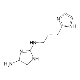 NC1CNC(NCCCc2ncc[nH]2)=N1